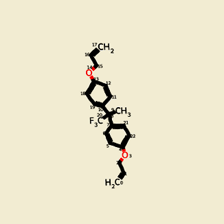 C=CCOc1ccc(C(C)(c2ccc(OCC=C)cc2)C(F)(F)F)cc1